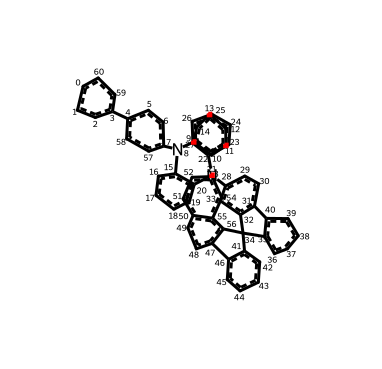 c1ccc(-c2ccc(N(c3ccccc3)c3ccccc3N(c3ccccc3)c3ccc4c(c3)C3(c5ccccc5-4)c4ccccc4-c4ccc5ccccc5c43)cc2)cc1